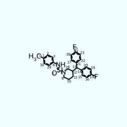 Cc1ccc(N[S+]([O-])N2CCCC(C(c3ccc(F)cc3)c3ccc(F)cc3)C2)cc1